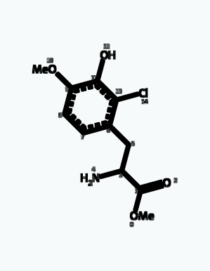 COC(=O)C(N)Cc1ccc(OC)c(O)c1Cl